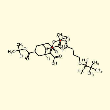 CC(C)(C)OC(=O)N1CC2CC(c3cnc(CCCO[Si](C)(C)C(C)(C)C)s3)=C(C(=O)O)[C@@H](C1)N2C(=O)OC(C)(C)C